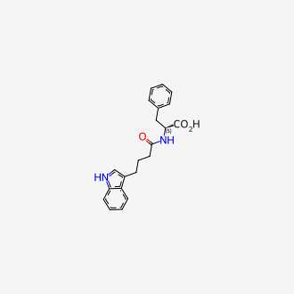 O=C(CCCc1c[nH]c2ccccc12)N[C@@H](Cc1ccccc1)C(=O)O